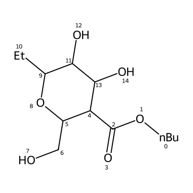 CCCCOC(=O)C1C(CO)OC(CC)C(O)C1O